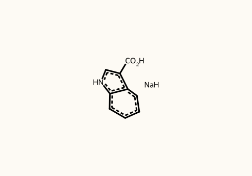 O=C(O)c1c[nH]c2ccccc12.[NaH]